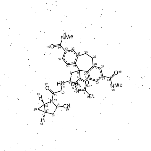 CCc1nnc(C2(C[C@H](C)NCC(=O)N3C(C#N)C[C@@H]4C[C@@H]43)c3ccc(C(=O)NC)cc3CCc3cc(C(=O)NC)ccc32)o1